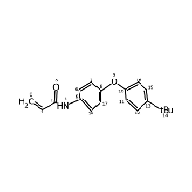 C=CC(=O)Nc1ccc(Oc2ccc(C(C)(C)C)cc2)cc1